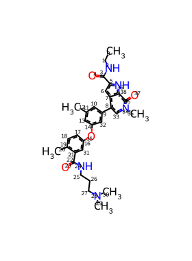 CCNC(=O)c1cc2c(-c3cc(C)cc(Oc4ccc(C)c(C(=O)NCCCN(C)C)c4)c3)cn(C)c(=O)c2[nH]1